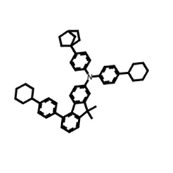 CC1(C)c2cc(N(c3ccc(C4CCCCC4)cc3)c3ccc(C45CCC(CC4)C5)cc3)ccc2-c2c(-c3ccc(C4CCCCC4)cc3)cccc21